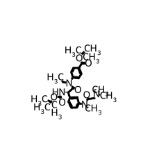 CCN(C(=O)[C@@H](NC(=O)OC(C)(C)C)c1cccc(N(C)C(=O)CN(C)C)c1)c1ccc(C(=O)OC(C)(C)C)cc1